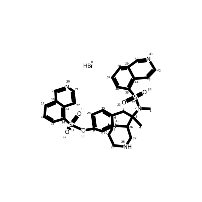 Br.CN(C(C)(Cc1ccc(OS(=O)(=O)c2cccc3cnccc23)cc1)C1CNCCN1)S(=O)(=O)c1cccc2cnccc12